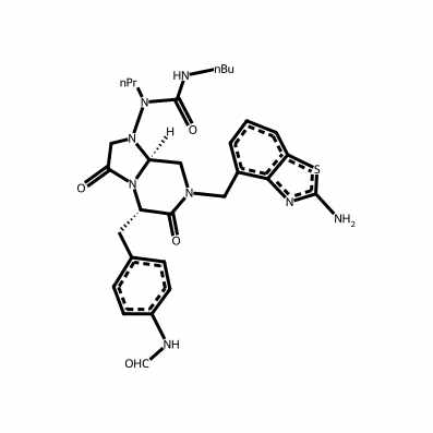 CCCCNC(=O)N(CCC)N1CC(=O)N2[C@@H](Cc3ccc(NC=O)cc3)C(=O)N(Cc3cccc4sc(N)nc34)C[C@@H]21